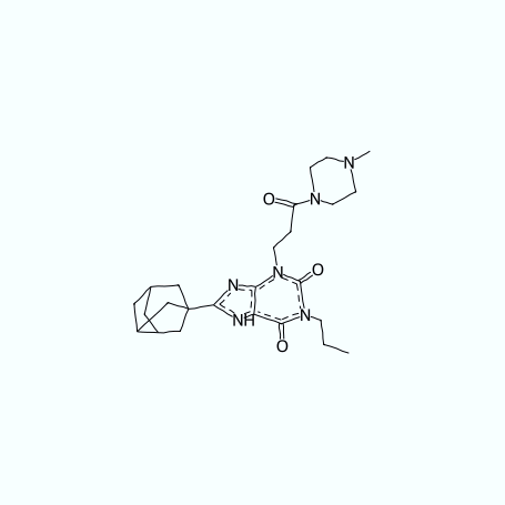 CCCn1c(=O)c2[nH]c(C34CC5CC(C3)C(C5)C4)nc2n(CCC(=O)N2CCN(C)CC2)c1=O